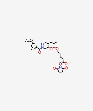 CC(=O)OC1[CH2][Ac][CH](C(=O)NCC2OC(OCCCCC(=O)ON3C(=O)CCC3=O)C(C)C(C)C2C)C1